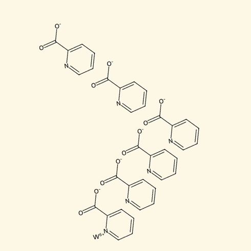 O=C([O-])c1ccccn1.O=C([O-])c1ccccn1.O=C([O-])c1ccccn1.O=C([O-])c1ccccn1.O=C([O-])c1ccccn1.O=C([O-])c1ccccn1.[W+6]